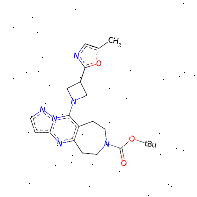 Cc1cnc(C2CN(c3c4c(nc5ccnn35)CCN(C(=O)OC(C)(C)C)CC4)C2)o1